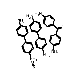 Nc1ccc(-c2ccc(N)cc2)cc1.Nc1ccc(-c2ccc(N)cc2)cc1.Nc1ccc(C(=O)c2ccc(N)cc2)cc1.O=S